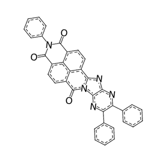 O=C1c2ccc3c(=O)n4c5nc(-c6ccccc6)c(-c6ccccc6)nc5nc4c4ccc(c2c34)C(=O)N1c1ccccc1